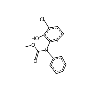 COC(=O)N(c1ccccc1)c1[c]ccc(Cl)c1O